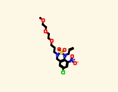 C=CCN1c2c(cc(Cl)cc2[N+](=O)[O-])CN(CCCOCCOCCOC)S1(=O)=O